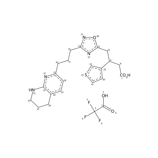 O=C(O)C(F)(F)F.O=C(O)CC(Cc1nc(CCCc2ccc3c(n2)NCCC3)no1)c1ccsc1